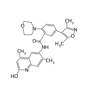 Cc1cc2nc(O)cc(C)c2cc1NC(=O)c1cc(-c2c(C)noc2C)ccc1N1CCOCC1